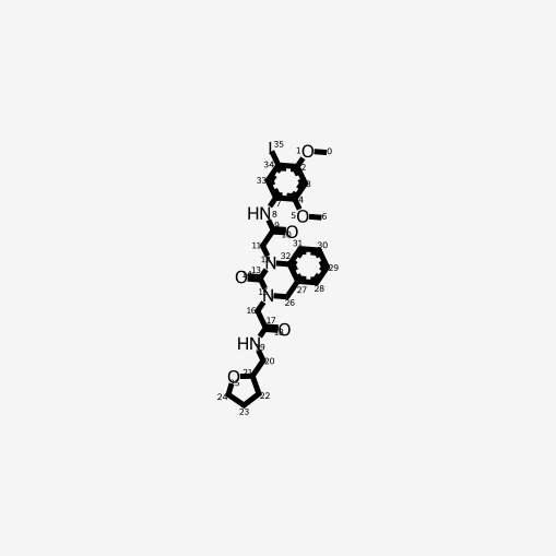 COc1cc(OC)c(NC(=O)CN2C(=O)N(CC(=O)NCC3CCCO3)Cc3ccccc32)cc1I